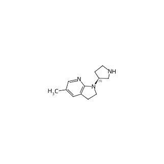 Cc1cnc2c(c1)CCN2[C@H]1CCNC1